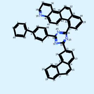 c1ccc(-c2ccc(-c3nc(-c4ccc5ccc6ccccc6c5c4)nc(-c4cccc5ccc6c7cccnc7ccc6c45)n3)cc2)cc1